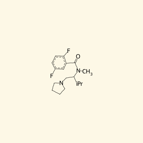 CC(C)C(CN1CCCC1)N(C)C(=O)c1cc(F)ccc1F